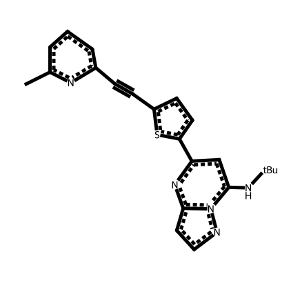 Cc1cccc(C#Cc2ccc(-c3cc(NC(C)(C)C)n4nccc4n3)s2)n1